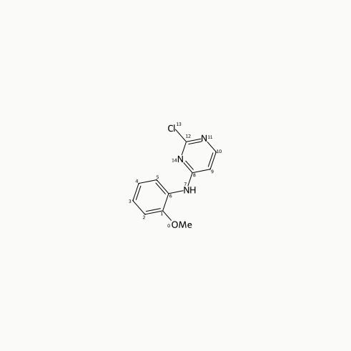 COc1ccccc1Nc1ccnc(Cl)n1